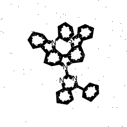 c1ccc(-c2nc(-n3c4ccc5c6ccccc6sc5c4c4c3ccc3c5ccccc5n(-c5ccccc5)c34)nc3ccccc23)cc1